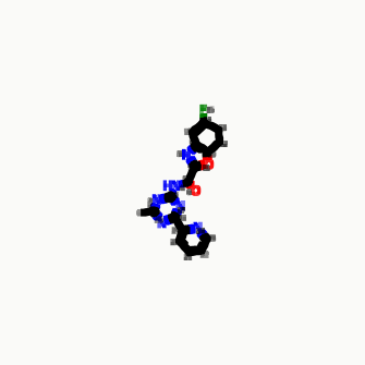 Cc1nc(NC(=O)c2nc3c(o2)CCC(F)=C3)nc(-c2ccccn2)n1